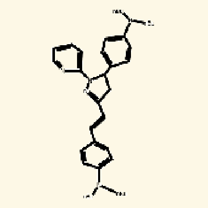 CCCCN(CCCC)c1ccc(C=CC2=NN(c3ccccn3)C(c3ccc(N(CCCC)CCCC)cc3)C2)cc1